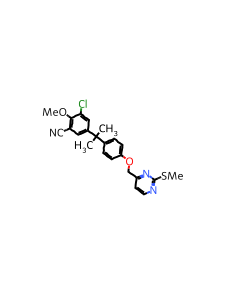 COc1c(Cl)cc(C(C)(C)c2ccc(OCc3ccnc(SC)n3)cc2)cc1C#N